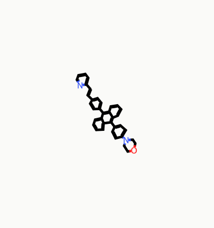 C(=C\c1ccccn1)/c1ccc(-c2c3ccccc3c(-c3ccc(N4CCOCC4)cc3)c3ccccc23)cc1